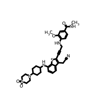 CNC(=O)c1ccc(NCC#Cc2sc3c(NC4CCC(N5CCS(=O)(=O)CC5)CC4)cccc3c2CC#N)c(OC)c1